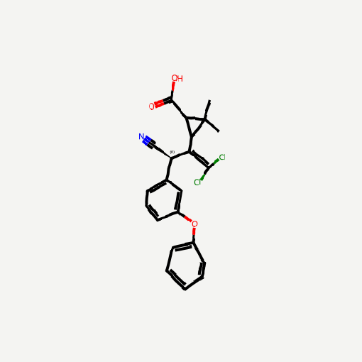 CC1(C)C(C(=O)O)C1C(=C(Cl)Cl)[C@H](C#N)c1cccc(Oc2ccccc2)c1